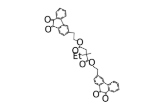 CCC(C)(CC(=O)OCCc1ccc2c(c1)-c1ccccc1C(=O)C2=O)C(=O)OCCc1ccc2c(c1)-c1ccccc1C(=O)C2=O